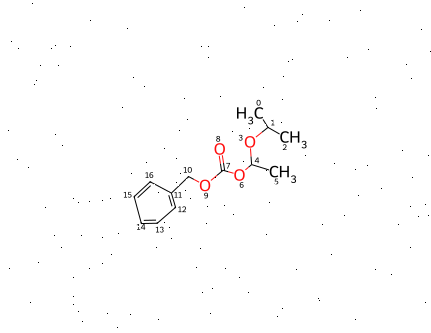 CC(C)OC(C)OC(=O)OCc1ccccc1